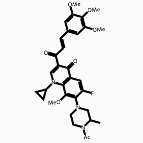 COc1cc(C=CC(=O)c2cn(C3CC3)c3c(OC)c(N4CCN(C(C)=O)C(C)C4)c(F)cc3c2=O)cc(OC)c1OC